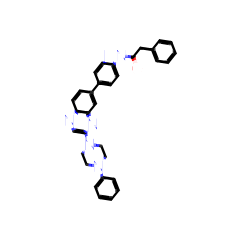 O=C(Cc1ccccc1)Nc1ccc(-c2ccc3ncc(N4CCN(c5ccccc5)CC4)nc3c2)cc1